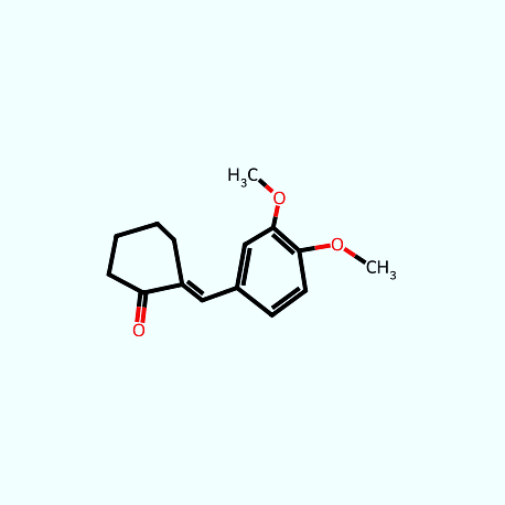 COc1ccc(C=C2CCCCC2=O)cc1OC